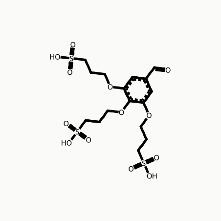 O=Cc1cc(OCCCS(=O)(=O)O)c(OCCCS(=O)(=O)O)c(OCCCS(=O)(=O)O)c1